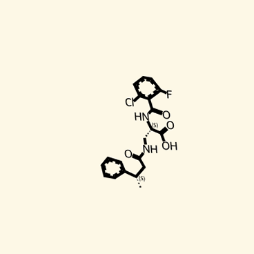 C[C@@H](CC(=O)NC[C@H](NC(=O)c1c(F)cccc1Cl)C(=O)O)c1ccccc1